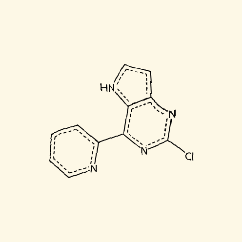 Clc1nc(-c2ccccn2)c2[nH]ccc2n1